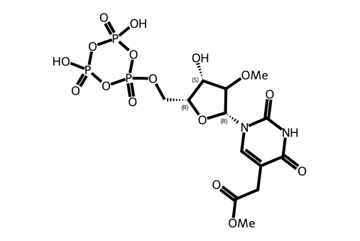 COC(=O)Cc1cn([C@@H]2O[C@H](COP3(=O)OP(=O)(O)OP(=O)(O)O3)[C@H](O)C2OC)c(=O)[nH]c1=O